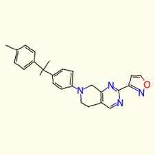 Cc1ccc(C(C)(C)c2ccc(N3CCc4cnc(-c5ccon5)nc4C3)cc2)cc1